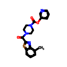 Cc1cccc2sc(C(=O)N3CCN(C(=O)Oc4cccnc4)CC3)nc12